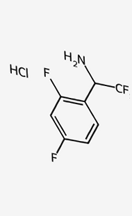 Cl.NC(c1ccc(F)cc1F)C(F)(F)F